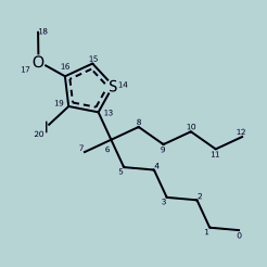 CCCCCCC(C)(CCCCC)c1scc(OC)c1I